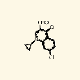 O=Cc1cn(C2CC2)c2cc(Cl)ccc2c1=O